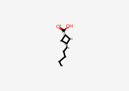 CCCCC[C@H]1C[C@H](C(=O)O)C1